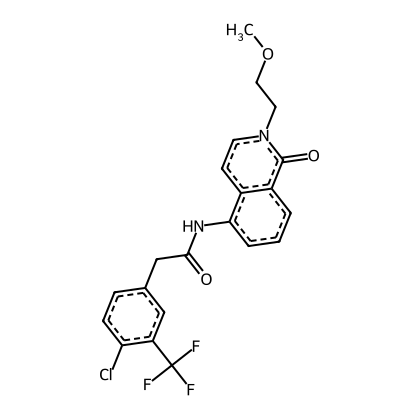 COCCn1ccc2c(NC(=O)Cc3ccc(Cl)c(C(F)(F)F)c3)cccc2c1=O